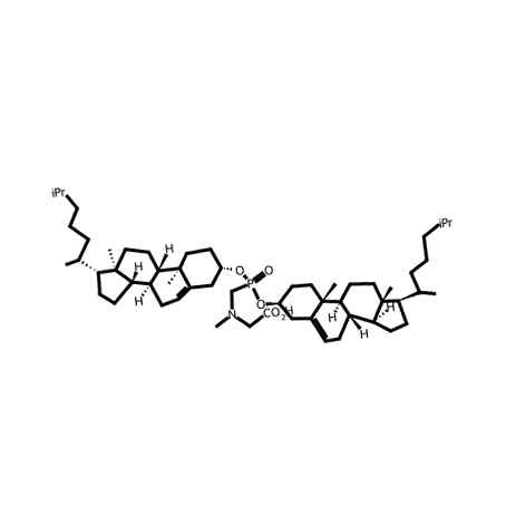 CC(C)CCCC(C)[C@H]1CC[C@H]2[C@@H]3CC=C4C[C@@H](OP(=O)(CN(C)CC(=O)O)O[C@H]5CC[C@@]6(C)C(=CC[C@H]7[C@@H]8CC[C@H](C(C)CCCC(C)C)[C@@]8(C)CC[C@@H]76)C5)CC[C@]4(C)[C@H]3CC[C@]12C